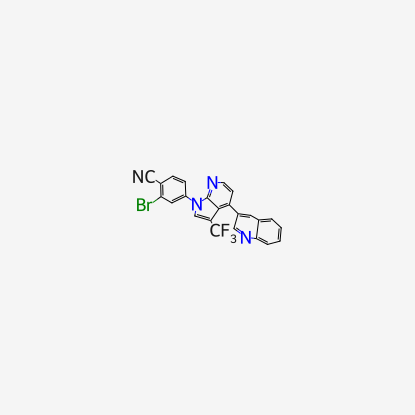 N#Cc1ccc(-n2cc(C(F)(F)F)c3c(-c4cnc5ccccc5c4)ccnc32)cc1Br